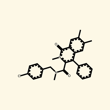 Cc1cc2c(-c3ccccc3)c(C(=O)N(C)Cc3ccc(Cl)cc3)n(C)c(=O)c2cc1C